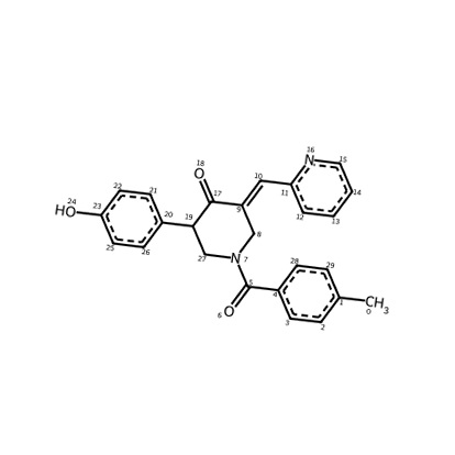 Cc1ccc(C(=O)N2CC(=Cc3ccccn3)C(=O)C(c3ccc(O)cc3)C2)cc1